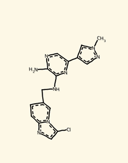 Cn1cc(-c2cnc(N)c(NCc3ccc4ncc(Cl)n4c3)n2)cn1